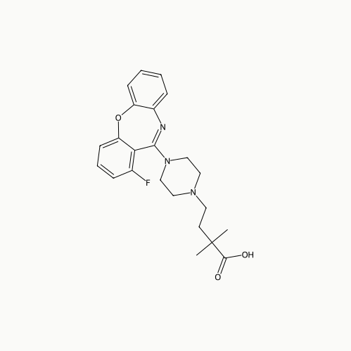 CC(C)(CCN1CCN(C2=Nc3ccccc3Oc3cccc(F)c32)CC1)C(=O)O